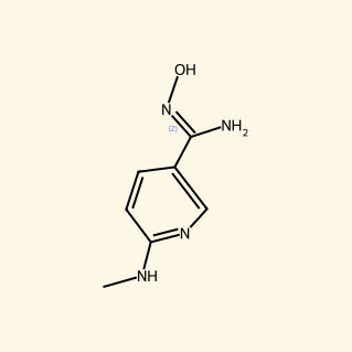 CNc1ccc(/C(N)=N/O)cn1